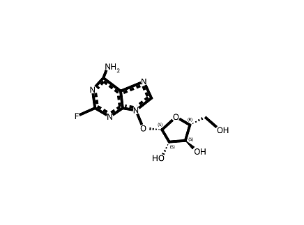 Nc1nc(F)nc2c1ncn2O[C@@H]1O[C@H](CO)[C@@H](O)[C@@H]1O